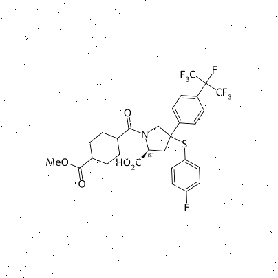 COC(=O)C1CCC(C(=O)N2CC(Sc3ccc(F)cc3)(c3ccc(C(F)(C(F)(F)F)C(F)(F)F)cc3)C[C@H]2C(=O)O)CC1